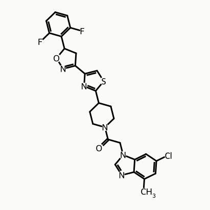 Cc1cc(Cl)cc2c1ncn2CC(=O)N1CCC(c2nc(C3=NOC(c4c(F)cccc4F)C3)cs2)CC1